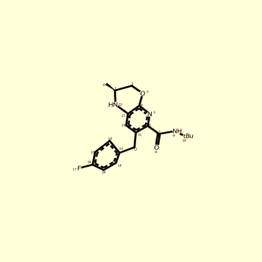 C[C@H]1COc2nc(C(=O)NC(C)(C)C)c(Cc3ccc(F)cc3)cc2N1